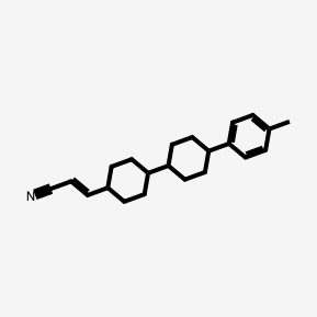 Cc1ccc(C2CCC(C3CCC(C=CC#N)CC3)CC2)cc1